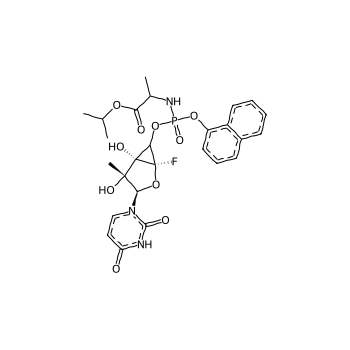 CC(C)OC(=O)C(C)NP(=O)(Oc1cccc2ccccc12)OC1[C@]2(O)[C@@](C)(O)[C@H](n3ccc(=O)[nH]c3=O)O[C@]12F